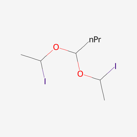 CCCC(OC(C)I)OC(C)I